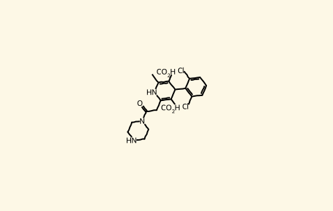 CC1=C(C(=O)O)C(c2c(Cl)cccc2Cl)C(C(=O)O)=C(CC(=O)N2CCNCC2)N1